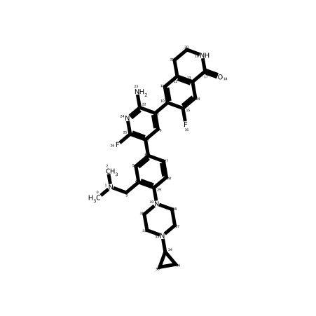 CN(C)Cc1cc(-c2cc(-c3cc4c(cc3F)C(=O)NCC4)c(N)nc2F)ccc1N1CCN(C2CC2)CC1